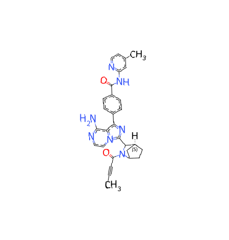 CC#CC(=O)N1C2CC[C@@H](C2)C1c1nc(-c2ccc(C(=O)Nc3cc(C)ccn3)cc2)c2c(N)nccn12